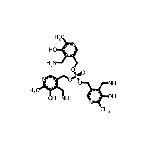 Cc1ncc(COP(=O)(OCc2cnc(C)c(O)c2CN)OCc2cnc(C)c(O)c2CN)c(CN)c1O